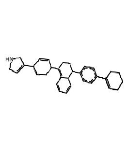 C1=CC2=C(C3C=CC(C4=CCNC4)CC3)CCC(c3ccc(C4=CCCCC4)cc3)C2C=C1